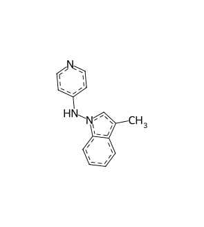 Cc1cn(Nc2ccncc2)c2ccccc12